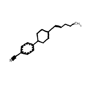 CCCC=CC1CCC(c2ccc(C#N)cc2)CC1